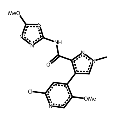 COc1nnc(NC(=O)c2nn(C)cc2-c2cc(Cl)ncc2OC)s1